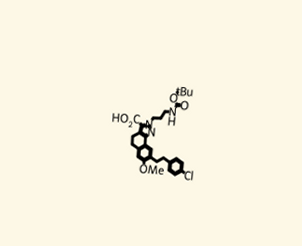 COc1cc2c(cc1CCc1ccc(Cl)cc1)-c1nn(CCCNC(=O)OC(C)(C)C)c(C(=O)O)c1CC2